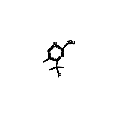 Cc1cnc(C(C)(C)C)nc1C(C)(C)F